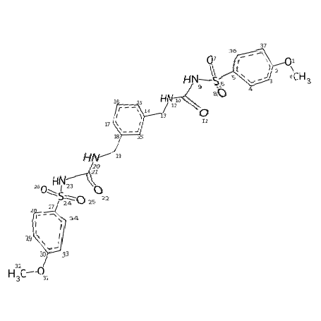 COc1ccc(S(=O)(=O)NC(=O)NCc2cccc(CNC(=O)NS(=O)(=O)c3ccc(OC)cc3)c2)cc1